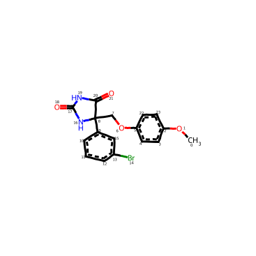 COc1ccc(OCC2(c3cccc(Br)c3)NC(=O)NC2=O)cc1